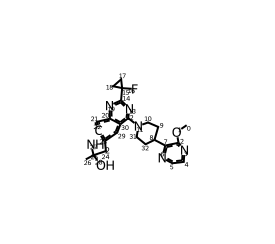 COc1nccnc1C1CCN(c2nc(C3(F)CC3)nc3ccc(CC(C)(N)O)cc23)CC1